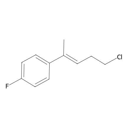 C/C(=C\CCCl)c1ccc(F)cc1